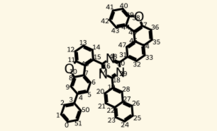 c1ccc(-c2ccc3c(c2)oc2cccc(-c4nc(-c5ccc6ccccc6c5)nc(-c5ccc6ccc7oc8ccccc8c7c6c5)n4)c23)cc1